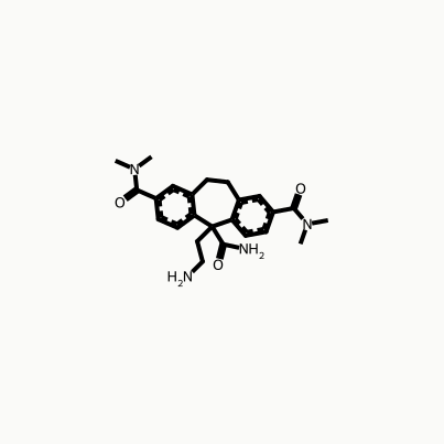 CN(C)C(=O)c1ccc2c(c1)CCc1cc(C(=O)N(C)C)ccc1C2(CCN)C(N)=O